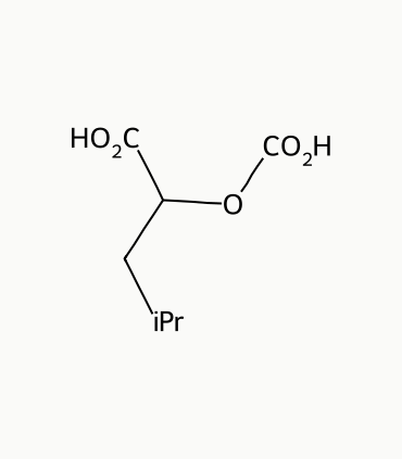 CC(C)CC(OC(=O)O)C(=O)O